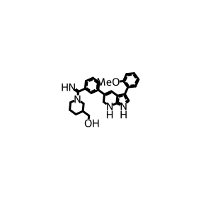 COc1ccccc1-c1c[nH]c2c1C=C(c1cccc(C(=N)N3CCCC(CO)C3)c1)CN2